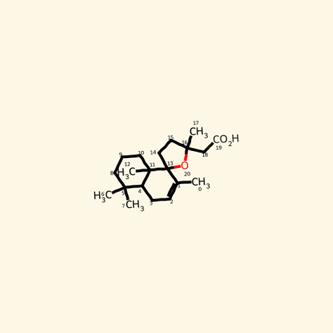 CC1=CCC2C(C)(C)CCCC2(C)C12CCC(C)(CC(=O)O)O2